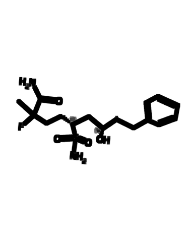 CC(F)(CC[C@H](C[C@@H](O)[CH]Cc1ccccc1)S(N)(=O)=O)C(N)=O